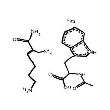 CC(=O)NC(Cc1c[nH]c2ccccc12)C(=O)O.Cl.NCCCCC(N)C(N)=O